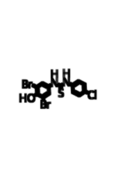 Oc1c(Br)cc(NC(=S)Nc2ccc(Cl)cc2)cc1Br